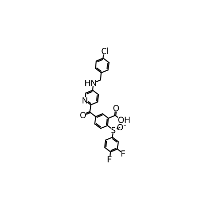 O=C(c1ccc([S+]([O-])c2ccc(F)c(F)c2)c(C(=O)O)c1)c1ccc(NCc2ccc(Cl)cc2)cn1